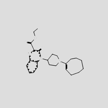 CCOC(=O)c1nc2ccccc2n(C2CCN(/C3=C/CCCCCC3)CC2)c1=O